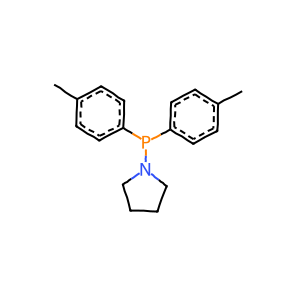 Cc1ccc(P(c2ccc(C)cc2)N2CCCC2)cc1